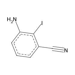 N#Cc1cccc(N)c1I